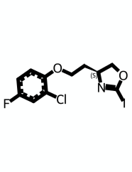 Fc1ccc(OCC[C@H]2COC(I)=N2)c(Cl)c1